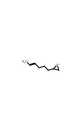 CC=CCCCC1CS1